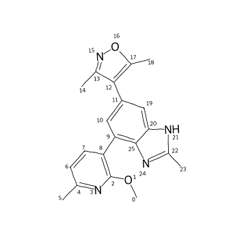 COc1nc(C)ccc1-c1cc(-c2c(C)noc2C)cc2[nH]c(C)nc12